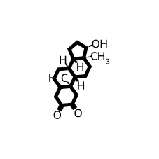 C[C@]12CC[C@H]3[C@@H](CCC4CC(=O)C(=O)C[C@@]43C)[C@@H]1CC[C@@H]2O